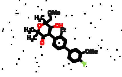 CCc1cc(-c2ccc(F)c(OC)c2)ccc1C1=C(O)C(C)(COC)OC(C)(C)C1=O